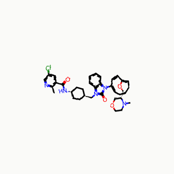 Cc1ncc(Cl)cc1C(=O)N[C@H]1CC[C@H](Cn2c(=O)n(C3=C/CCC/C=C(OC[C@H]4COCCN4C)/C=C\3)c3ccccc32)CC1